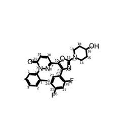 Cc1ccccc1-n1nc(-c2oc(N3CCC(O)CC3)nc2-c2ccc(F)cc2F)ccc1=O